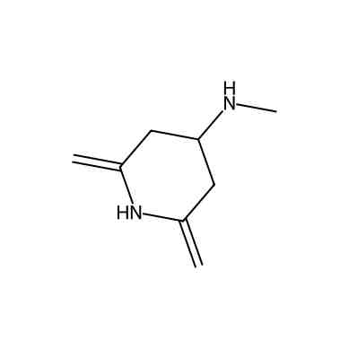 C=C1CC(NC)CC(=C)N1